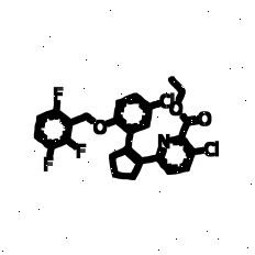 CCOC(=O)c1nc(C2=C(c3cc(Cl)ccc3OCc3c(F)ccc(F)c3F)CCC2)ccc1Cl